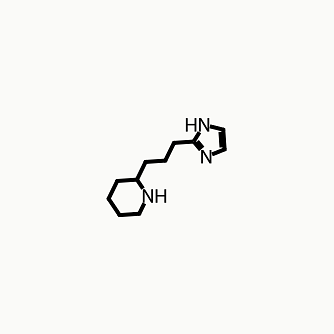 c1c[nH]c(CCCC2CCCCN2)n1